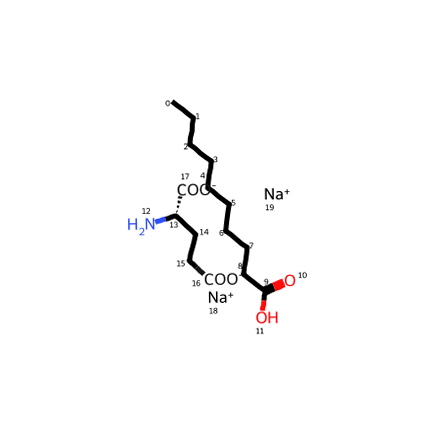 CCCCCCCCCC(=O)O.N[C@@H](CCC(=O)[O-])C(=O)[O-].[Na+].[Na+]